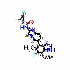 CSc1c(F)c(C)c(-c2ccc3nc(NC(=O)[C@@H]4C[C@@H]4F)cn3c2)c2cn[nH]c12